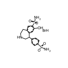 Br.NS(=O)(=O)c1ccc(C2CNCCc3cc(S(N)(=O)=O)c(O)cc32)cc1